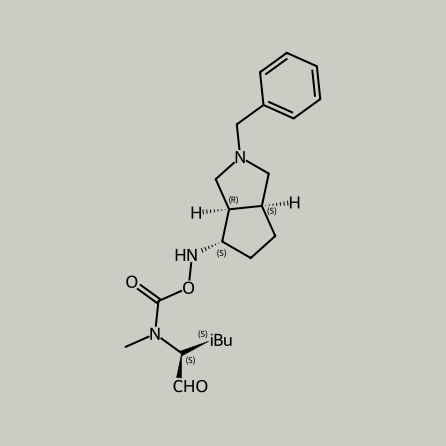 CC[C@H](C)[C@@H](C=O)N(C)C(=O)ON[C@H]1CC[C@@H]2CN(Cc3ccccc3)C[C@@H]21